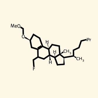 COCO[C@H]1CCC2=C(C1)C(CF)C[C@@H]1[C@@H]2CC[C@]2(C)[C@@H]([C@H](C)CCCC(C)C)CC[C@@H]12